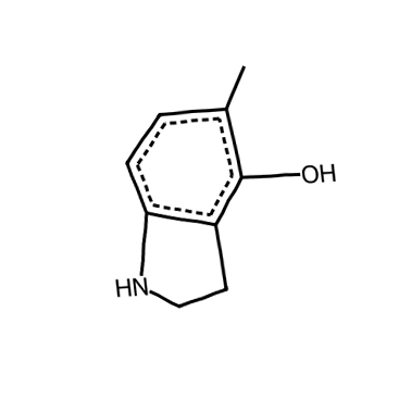 Cc1ccc2c(c1O)CCN2